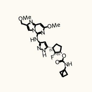 COCc1cn2c(Nc3cc([C@@H]4CC[C@H](OC(=O)NC56CC(C5)C6)[C@@H]4F)[nH]n3)nc(OC)cc2n1